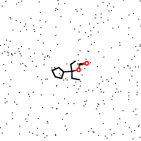 CCC(CC)(O[C]=O)C1CCCC1